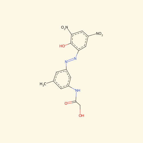 Cc1cc(N=Nc2cc([N+](=O)[O-])cc([N+](=O)[O-])c2O)cc(NC(=O)CO)c1